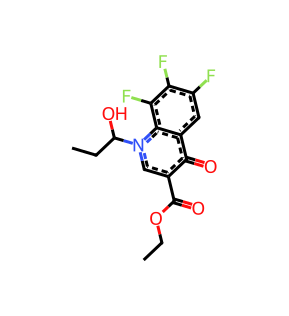 CCOC(=O)c1cn(C(O)CC)c2c(F)c(F)c(F)cc2c1=O